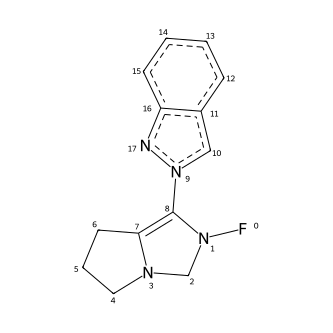 FN1CN2CCCC2=C1n1cc2ccccc2n1